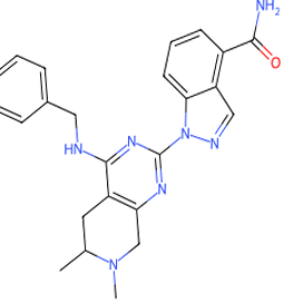 CC1Cc2c(nc(-n3ncc4c(C(N)=O)cccc43)nc2NCc2ccccc2)CN1C